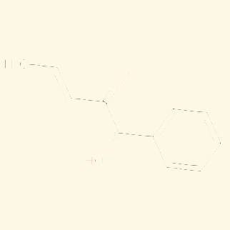 CC=CC(=O)C(O)c1cc[c]cc1